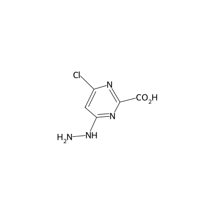 NNc1cc(Cl)nc(C(=O)O)n1